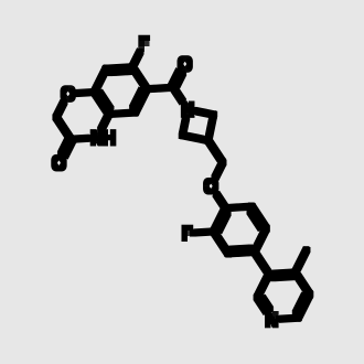 Cc1ccncc1-c1ccc(OCC2CN(C(=O)c3cc4c(cc3F)OCC(=O)N4)C2)c(F)c1